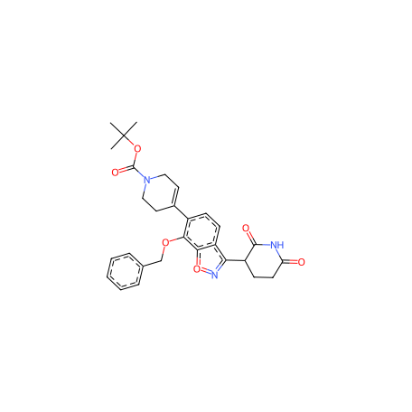 CC(C)(C)OC(=O)N1CC=C(c2ccc3c(C4CCC(=O)NC4=O)noc3c2OCc2ccccc2)CC1